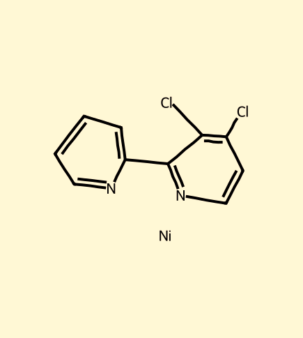 Clc1ccnc(-c2ccccn2)c1Cl.[Ni]